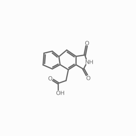 O=C(O)Cc1c2c(cc3ccccc13)C(=O)NC2=O